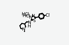 CN1CCCC(CNc2nnc(-c3ccc(Cl)cc3)s2)C1.Cl.Cl